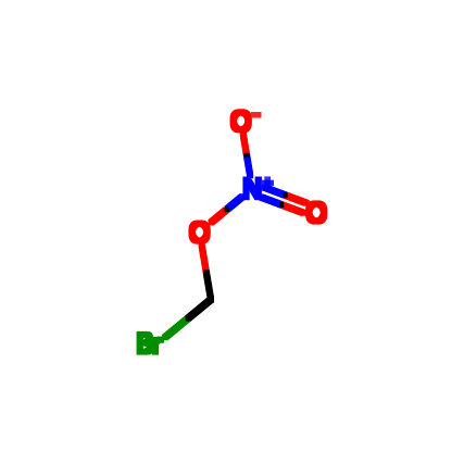 O=[N+]([O-])OCBr